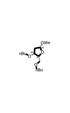 CCCCOC[C@H]1O[C@@H](OC)C[C@H]1OCCCC